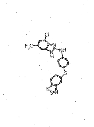 FC(F)(F)c1cc(Cl)c2nc(Nc3ccc(Sc4ccc5nsnc5c4)cc3)[nH]c2c1